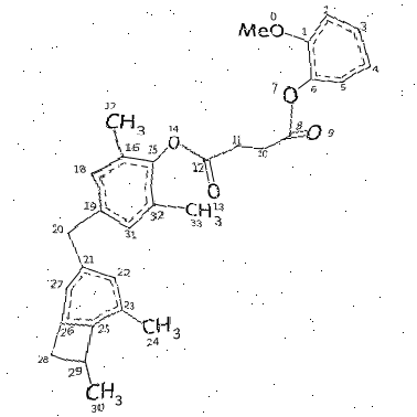 COc1ccccc1OC(=O)CCC(=O)Oc1c(C)cc(Cc2cc(C)c3c(c2)CC3C)cc1C